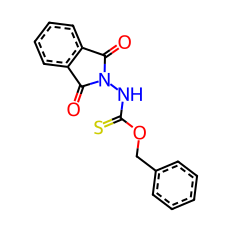 O=C1c2ccccc2C(=O)N1NC(=S)OCc1ccccc1